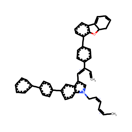 C=C/C(=C\c1cn(C/C=C\C=C/C)c2ccc(-c3ccc(-c4ccccc4)cc3)cc12)c1ccc(-c2cccc3c2OC2CC=CC=C32)cc1